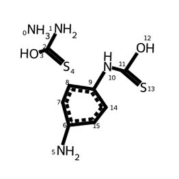 N.NC(O)=S.Nc1ccc(NC(O)=S)cc1